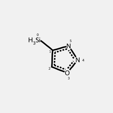 [SiH3]c1conn1